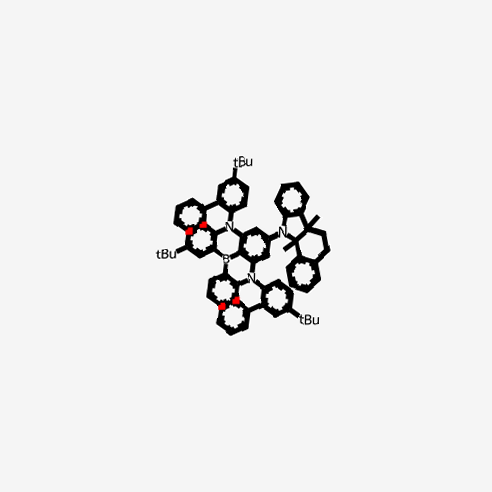 CC(C)(C)c1ccc2c(c1)B1c3ccccc3N(c3ccc(C(C)(C)C)cc3-c3ccccc3)c3cc(N4c5ccccc5C5(C)CCc6ccccc6C45C)cc(c31)N2c1ccc(C(C)(C)C)cc1-c1ccccc1